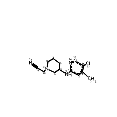 Cc1cc(NC2CCCN(CC#N)C2)nnc1Cl